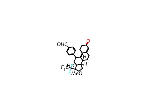 CO[C@@]1(C(F)(F)C(F)(F)F)CC[C@H]2[C@@H]3CCC4=CC(=O)CCC4=C3C(c3ccc(C=O)cc3)C[C@@]21C